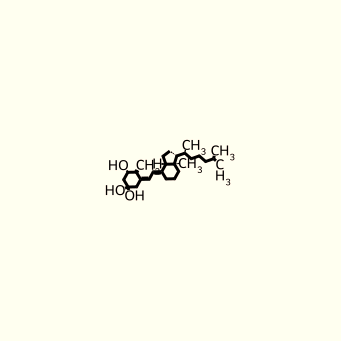 C=C1/C(=C\C=C2CCC[C@]3(C)[C@@H]([C@H](C)CCCC(C)C)CC[C@@H]23)CC(O)(O)C[C@H]1O